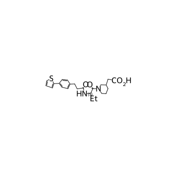 CC[C@H](NC(=O)CCc1ccc(-c2cccs2)cc1)C(=O)N1CCCC(CC(=O)O)C1